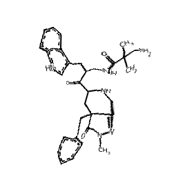 CN1N=C2CNC(C(=O)C(Cc3c[nH]c4ccccc34)NC(=O)C(C)(C)N)CC2(Cc2ccccc2)C1=O